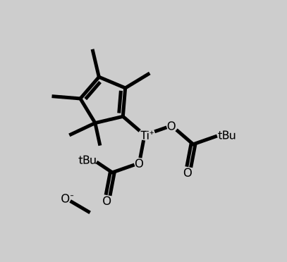 CC1=C(C)C(C)(C)[C]([Ti+]([O]C(=O)C(C)(C)C)[O]C(=O)C(C)(C)C)=C1C.C[O-]